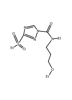 CCOCCCN(CC)C(=O)n1cnc(S(=O)(=O)CC)n1